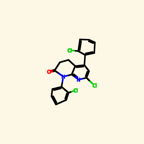 O=C1CCc2c(-c3ccccc3Cl)cc(Cl)nc2N1c1ccccc1Cl